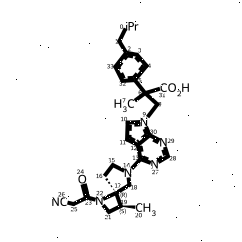 CC(C)Cc1ccc(C(C)(Cn2ccc3c(N4CC[C@]5(C4)[C@@H](C)CN5C(=O)CC#N)ncnc32)C(=O)O)cc1